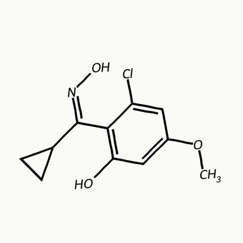 COc1cc(O)c(/C(=N\O)C2CC2)c(Cl)c1